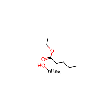 CCCCC(=O)OCC.CCCCCCO